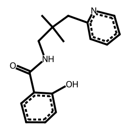 CC(C)(CNC(=O)c1ccccc1O)Cc1ccccn1